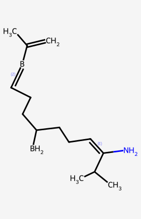 BC(CC/C=B\C(=C)C)CC/C=C(/N)C(C)C